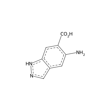 Nc1cc2cn[nH]c2cc1C(=O)O